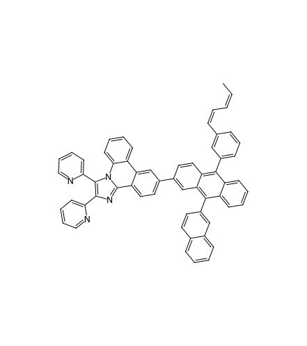 C/C=C\C=C/c1cccc(-c2c3ccccc3c(-c3ccc4ccccc4c3)c3cc(-c4ccc5c(c4)c4ccccc4n4c(-c6ccccn6)c(-c6ccccn6)nc54)ccc23)c1